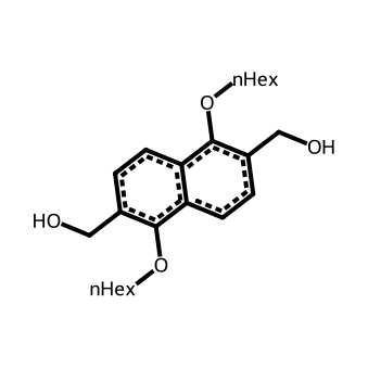 CCCCCCOc1c(CO)ccc2c(OCCCCCC)c(CO)ccc12